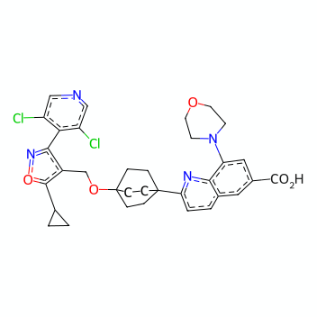 O=C(O)c1cc(N2CCOCC2)c2nc(C34CCC(OCc5c(-c6c(Cl)cncc6Cl)noc5C5CC5)(CC3)CC4)ccc2c1